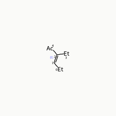 CC/C=C(\CC)C(C)=O